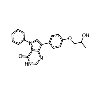 CC(O)COc1ccc(-c2cn(-c3ccccc3)c3c(=O)[nH]cnc23)cc1